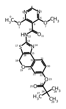 COc1ncnc(OC)c1C(=O)Nc1nc2c(s1)COc1cc(OC(=O)C(C)(C)C)ccc1-2